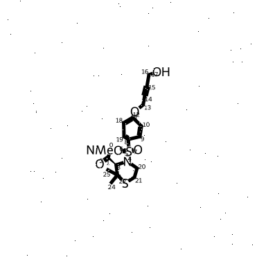 CNC(=O)[C@H]1N(S(=O)(=O)c2ccc(OCC#CCO)cc2)CCSC1(C)C